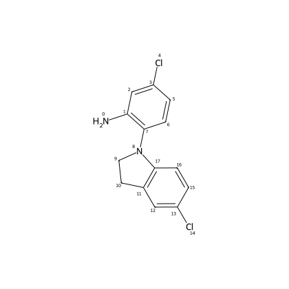 Nc1cc(Cl)ccc1N1CCc2cc(Cl)ccc21